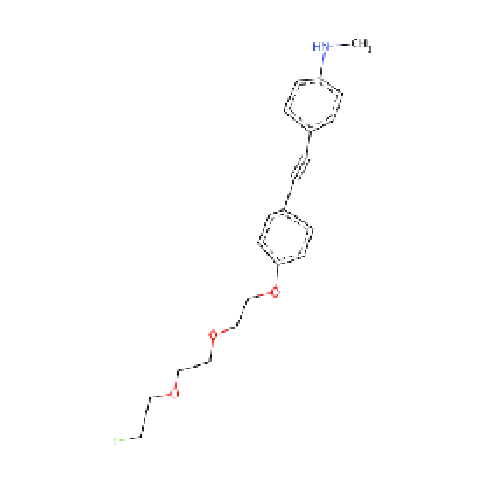 CNc1ccc(C#Cc2ccc(OCCOCCOCCF)cc2)cc1